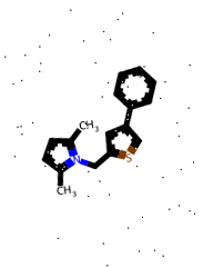 Cc1ccc(C)n1Cc1cc(-c2ccccc2)cs1